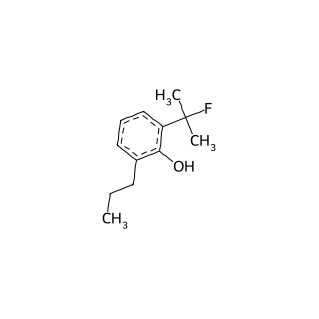 CCCc1cccc(C(C)(C)F)c1O